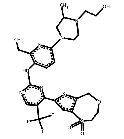 CCc1nc(N2CCN(CCO)C(C)C2)ccc1Nc1ncc(C(F)(F)F)c(-c2cc3c(s2)COCCS3(=O)=O)n1